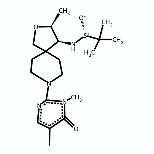 C[C@@H]1OCC2(CCN(c3ncc(I)c(=O)n3C)CC2)[C@@H]1N[S@+]([O-])C(C)(C)C